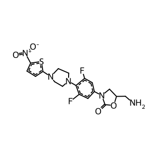 NCC1CN(c2cc(F)c(N3CCN(c4ccc([N+](=O)[O-])s4)CC3)c(F)c2)C(=O)O1